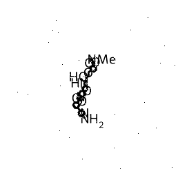 CNS(=O)(=O)c1cccc(OC[C@@H](O)CNC2COC3(CCN(S(=O)(=O)c4cccc(-c5ccc(N)nc5)c4)CC3)C2)c1